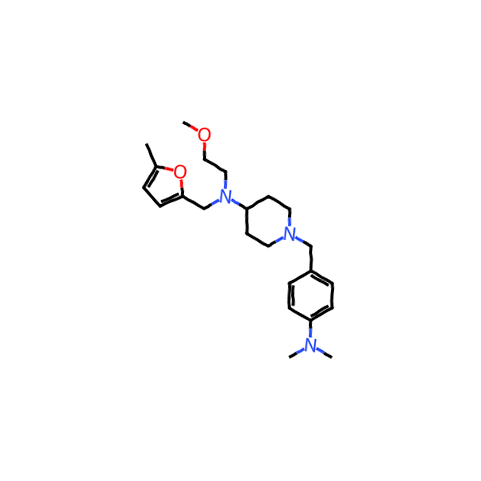 COCCN(Cc1ccc(C)o1)C1CCN(Cc2ccc(N(C)C)cc2)CC1